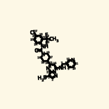 Bc1cnn2c(NCc3cccnc3)cc(C3CCN(C(=O)Nc4ccc(Cl)cc4C(C)(F)F)CC3)nc12